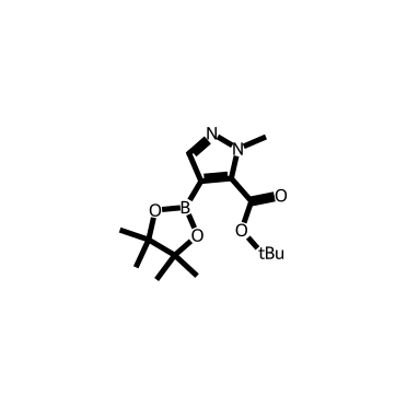 Cn1ncc(B2OC(C)(C)C(C)(C)O2)c1C(=O)OC(C)(C)C